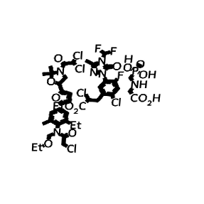 CC1(C)OC(c2ccco2)CN1C(=O)C(Cl)Cl.CCOC(=O)C(Cl)Cc1cc(-n2nc(C)n(C(F)F)c2=O)c(F)cc1Cl.CCOCN(C(=O)CCl)c1c(C)cccc1CC.O=C(O)CNCP(=O)(O)O